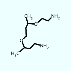 CC(CCN)OCCC(C)OCCN